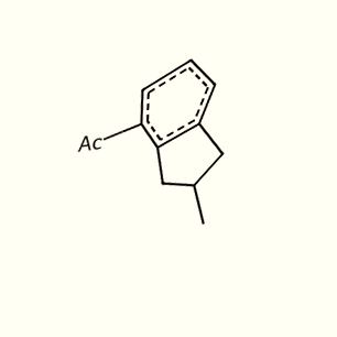 CC(=O)c1cccc2c1CC(C)C2